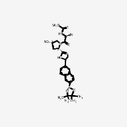 COC(=O)N[C@H](C(=O)N1C[C@@H](C#N)C[C@H]1C1=NCC(c2ccc3cc(B4OC(C)(C)C(C)(C)O4)ccc3c2)N1)C(C)C